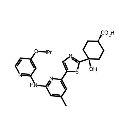 Cc1cc(Nc2cc(OC(C)C)ccn2)nc(-c2cnc([C@]3(O)CC[C@@H](C(=O)O)CC3)s2)c1